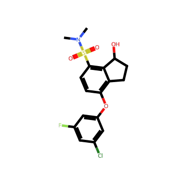 CN(C)S(=O)(=O)c1ccc(Oc2cc(F)cc(Cl)c2)c2c1C(O)CC2